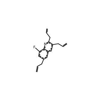 C=CCc1cc(F)c2nc(CC=C)c(CC=C)cc2c1